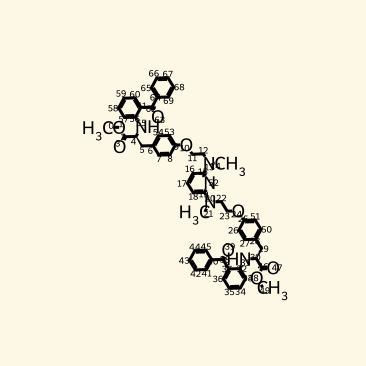 COC(=O)[C@H](Cc1ccc(OCCN(C)c2cccc(N(C)CCOc3ccc(C[C@H](Nc4ccccc4C(=O)c4ccccc4)C(=O)OC)cc3)n2)cc1)Nc1ccccc1C(=O)c1ccccc1